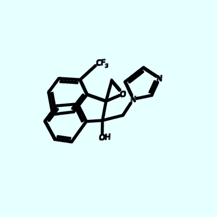 OC(Cn1ccnc1)(c1ccccc1)C1(c2ccccc2C(F)(F)F)CO1